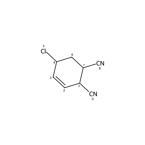 N#CC1C=CC(Cl)CC1C#N